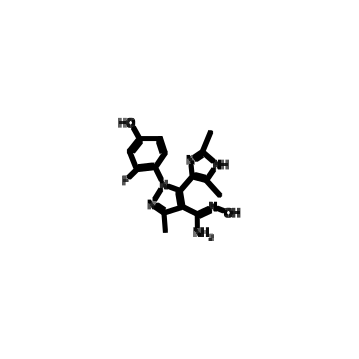 Cc1nc(-c2c(C(N)=NO)c(C)nn2-c2ccc(O)cc2F)c(C)[nH]1